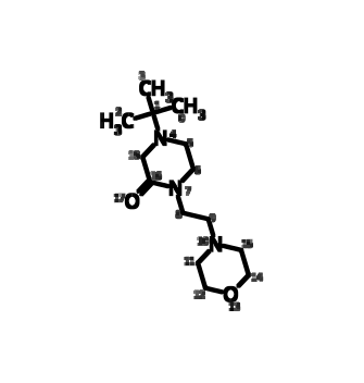 CC(C)(C)N1CCN(CCN2CCOCC2)C(=O)C1